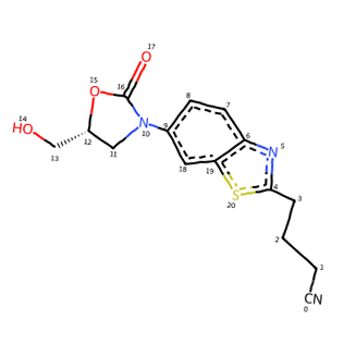 N#CCCCc1nc2ccc(N3C[C@H](CO)OC3=O)cc2s1